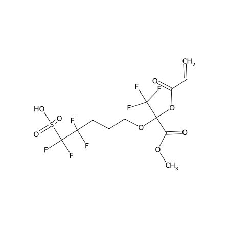 C=CC(=O)OC(OCCCC(F)(F)C(F)(F)S(=O)(=O)O)(C(=O)OC)C(F)(F)F